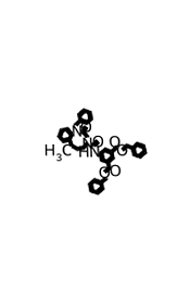 CC1CCN(C(=O)Nc2cc(C(=O)OCc3ccccc3)cc(C(=O)OCc3ccccc3)c2)CC(=O)N(Cc2ccccc2)c2ccccc21